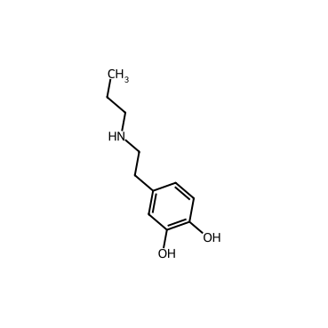 CCCNCCc1ccc(O)c(O)c1